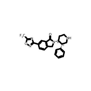 O=C1c2cc(-c3noc(C(F)(F)F)n3)ccc2CN1[C@@H]1CCNC[C@@H]1c1ccccc1